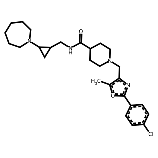 Cc1oc(-c2ccc(Cl)cc2)nc1CN1CCC(C(=O)NCC2CC2N2CCCCCC2)CC1